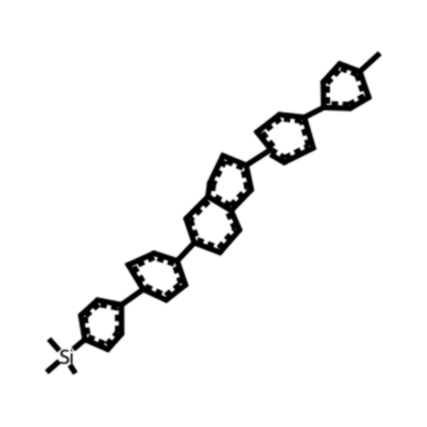 Cc1ccc(-c2ccc(-c3ccc4cc(-c5ccc(-c6ccc([Si](C)(C)C)cc6)cc5)ccc4c3)cc2)cc1